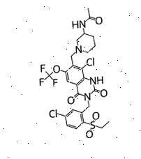 CCS(=O)(=O)c1ccc(Cl)cc1Cn1c(=O)[nH]c2c(Cl)c(CN3CCCC(NC(C)=O)C3)c(OC(F)(F)F)cc2c1=O